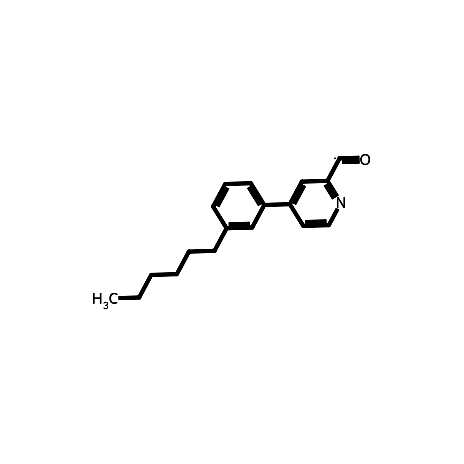 CCCCCCc1cccc(-c2ccnc([C]=O)c2)c1